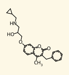 Cc1c(Cc2ccccc2)c(=O)oc2cc(OCC(O)CNCC3CC3)ccc12